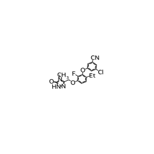 CCc1ccc(OCc2n[nH]c(=O)n2C)c(F)c1Oc1cc(Cl)cc(C#N)c1